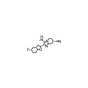 CNc1c(-c2cc3cc(F)ccc3o2)nc2cc(C#N)ccn12